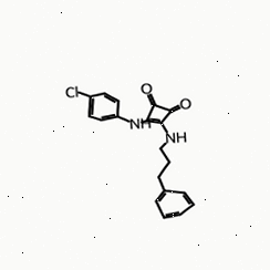 O=c1c(NCCCc2ccccc2)c(Nc2ccc(Cl)cc2)c1=O